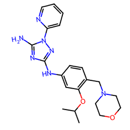 CC(C)Oc1cc(Nc2nc(N)n(-c3ccccn3)n2)ccc1CN1CCOCC1